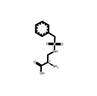 N[C@H](CNS(=O)(=O)Cc1ccccc1)C(=O)O